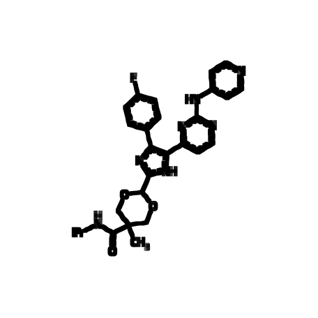 CC(C)NC(=O)C1(C)COC(c2nc(-c3ccc(F)cc3)c(-c3ccnc(Nc4ccncc4)n3)[nH]2)OC1